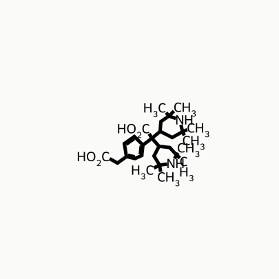 CC1(C)CC(C(C(=O)O)(c2ccc(CC(=O)O)cc2)C2CC(C)(C)NC(C)(C)C2)CC(C)(C)N1